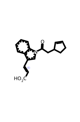 O=C(O)/C=C/c1cn(C(=O)CC2C=CCC2)c2ccccc12